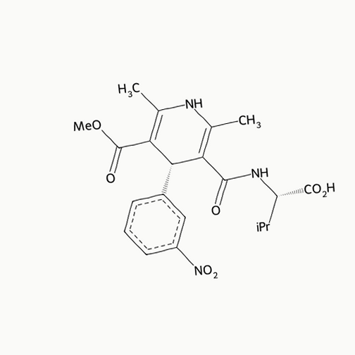 COC(=O)C1=C(C)NC(C)=C(C(=O)N[C@H](C(=O)O)C(C)C)[C@@H]1c1cccc([N+](=O)[O-])c1